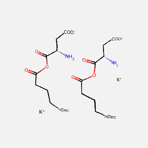 CCCCCCCCCCCCCC(=O)OC(=O)[C@@H](N)CC(=O)[O-].CCCCCCCCCCCCCC(=O)OC(=O)[C@@H](N)CC(=O)[O-].[K+].[K+]